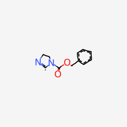 O=C(OCc1ccccc1)N1[C]=NCC1